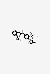 NCc1ccccc1CC(=O)Nc1ccc(-n2cc(F)cn2)c(S(N)(=O)=O)c1